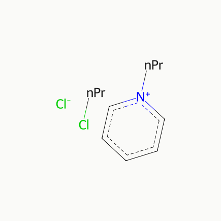 CCCCl.CCC[n+]1ccccc1.[Cl-]